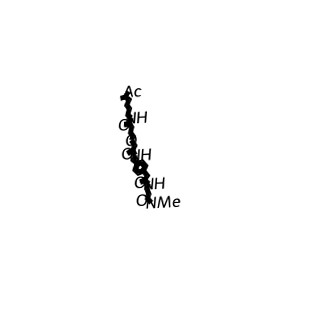 CNC(=O)CCNC(=O)Cc1ccc(CNC(=O)COCCCC(=O)NCCCCC(C)C(C)=O)cc1